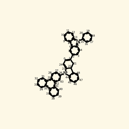 C1=C(c2ccc3c(c2)c2ccccc2n3-c2ccccc2)CC2C(=C1)N(c1ccc3c4ccccc4c4ccccc4c3c1)c1ccccc12